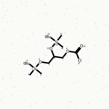 CC(C)(C)[Si](C)(C)OCC(COC(=O)Cl)O[Si](C)(C)C(C)(C)C